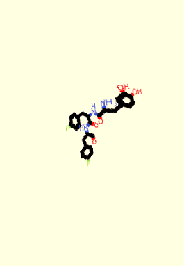 NC(Cc1ccc(O)c(O)c1)C(=O)NC(Cc1ccc(F)cc1)C(=O)NC(C=O)Cc1ccc(F)cc1